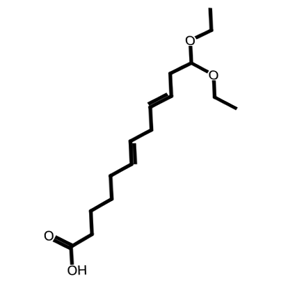 CCOC(CC=CCC=CCCCCC(=O)O)OCC